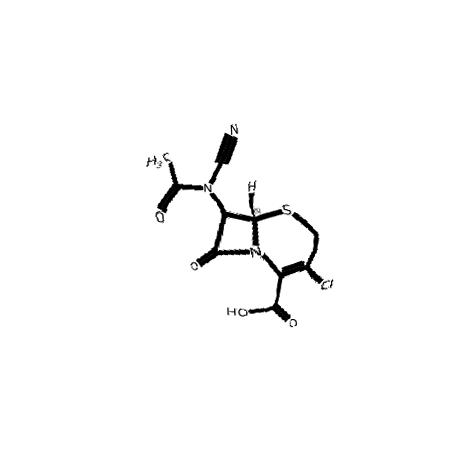 CC(=O)N(C#N)C1C(=O)N2C(C(=O)O)=C(Cl)CS[C@@H]12